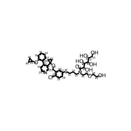 O=C([C@@H](O)[C@@H](O)[C@H](O)[C@@H](O)CO)N(CCCSc1ccc(Cl)c(COC2(c3cnccc3-c3ccccc3OC3CC3)CC2)c1)CCOCCO